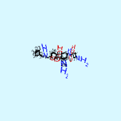 NC1CC(O)(C(=O)N[C@H]2C[C@@H](O)[C@H](O[C@@H]3CCC=C(CNCC4CCC4)O3)[C@@H](N)C2)C1